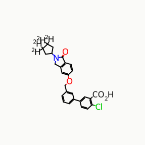 [2H]C1([2H])CC(N2Cc3cc(OCc4cccc(-c5ccc(Cl)c(C(=O)O)c5)c4)ccc3C2=O)CC1([2H])[2H]